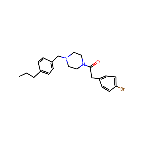 CCCc1ccc(CN2CCN(C(=O)Cc3ccc(Br)cc3)CC2)cc1